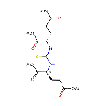 COC(=O)CC[C@H](NC(=S)N[C@@H](CCC(=O)OC)C(=O)OC)C(=O)OC